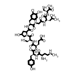 CNCC[C@H](N)C(=O)N[C@@H](Cc1ccc(O)cc1)C(=O)N[C@H](CCC(=O)O)C(=O)N[C@@H](CS)C(=O)N1CC(O)CC1C(=O)N[C@@H](Cc1ccc(O)c(Cl)c1)C(=O)NCC(=O)N[C@@H](CC(C)C)C(=O)N[C@@H](CS)C(C)=O